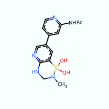 CC(=O)Nc1cc(-c2cnc3c(c2)S(O)(O)N(C)CN3)ccn1